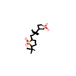 CC(C)(C)C1CCC(CC(C)(C)C2CCS(=O)(=O)C2)S1(=O)=O